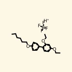 CCCCCCOc1ccc(-c2ccc(OCC)cc2OCC)cc1.F[B-](F)(F)F.[H+]